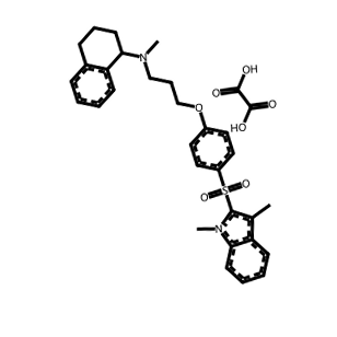 Cc1c(S(=O)(=O)c2ccc(OCCCN(C)C3CCCc4ccccc43)cc2)n(C)c2ccccc12.O=C(O)C(=O)O